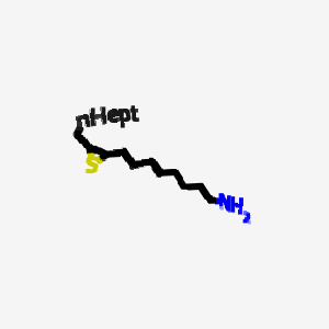 CCCCCCCCC1SC1CCCCCCCCN